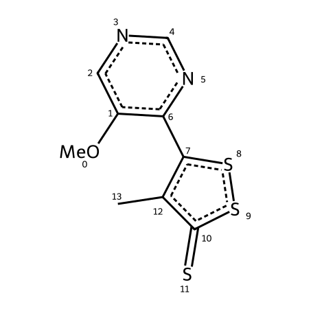 COc1cncnc1-c1ssc(=S)c1C